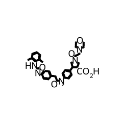 Cc1cccc(C)c1Nc1nc2ccc(CC(=O)N(C)c3ccc(C4CN(C(=O)CN5CCOCC5)CC4C(=O)O)cc3)cc2o1